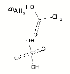 CC(=O)O.O=S(=O)(O)O.[AlH3].[Zn]